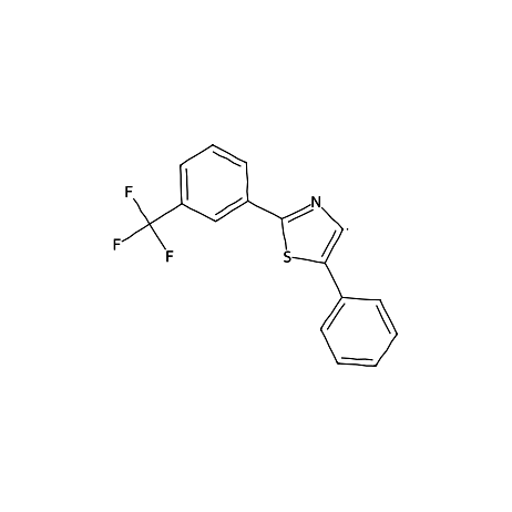 FC(F)(F)c1cccc(-c2n[c]c(-c3ccccc3)s2)c1